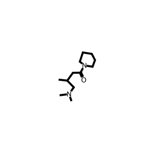 CC(CC(=O)N1CCCCC1)CN(C)C